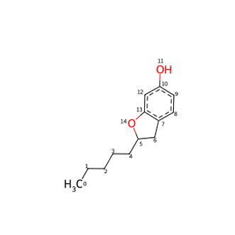 CCCCCC1Cc2ccc(O)cc2O1